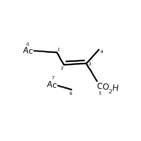 CC(=O)CC=C(C)C(=O)O.CC(C)=O